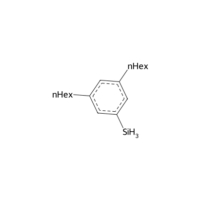 CCCCCCc1cc([SiH3])cc(CCCCCC)c1